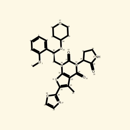 COc1ccccc1[C@H](Cn1c(=O)n(C2CCNC2=O)c(=O)c2c(C)c(-c3ncco3)sc21)OC1CCOCC1